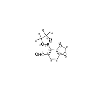 CC1(C)OB(c2c(C=O)ccc3c2OCO3)OC1(C)C